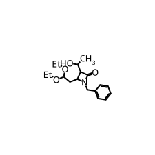 CCOC(CC1C(C(C)O)C(=O)N1Cc1ccccc1)OCC